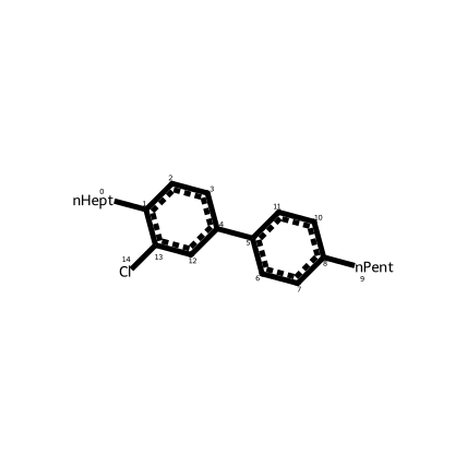 CCCCCCCc1ccc(-c2ccc(CCCCC)cc2)cc1Cl